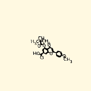 COc1ccc(-c2cc(=O)c3c(OC(=O)C(C)(C)C)cc(C(=O)O)cc3o2)cc1